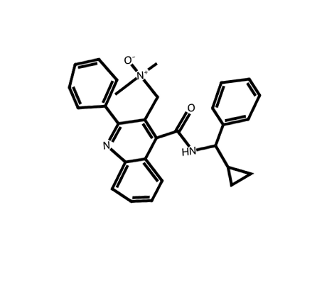 C[N+](C)([O-])Cc1c(-c2ccccc2)nc2ccccc2c1C(=O)NC(c1ccccc1)C1CC1